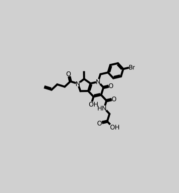 C=CCCC(=O)N1Cc2c(O)c(C(=O)NCC(=O)O)c(=O)n(Cc3ccc(Br)cc3)c2C1C